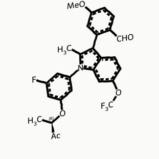 COc1ccc(C=O)c(-c2c(C)n(-c3cc(F)cc(O[C@H](C)C(C)=O)c3)c3cc(OC(F)(F)F)ccc23)c1